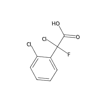 O=C(O)C(F)(Cl)c1ccccc1Cl